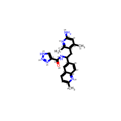 Cc1ccc2cc(C(Cc3c(C)cc(N)nc3C)NC(=O)c3c[nH]nn3)ccc2n1